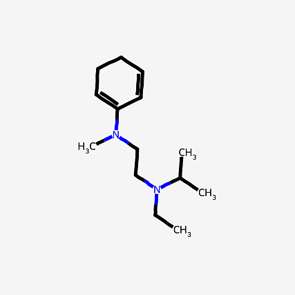 CCN(CCN(C)C1=CCCC=C1)C(C)C